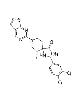 CC1CN(c2ncc3ccsc3n2)CCC1(NCc1ccc(Cl)c(Cl)c1)C(=O)O